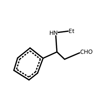 CCNC(CC=O)c1ccccc1